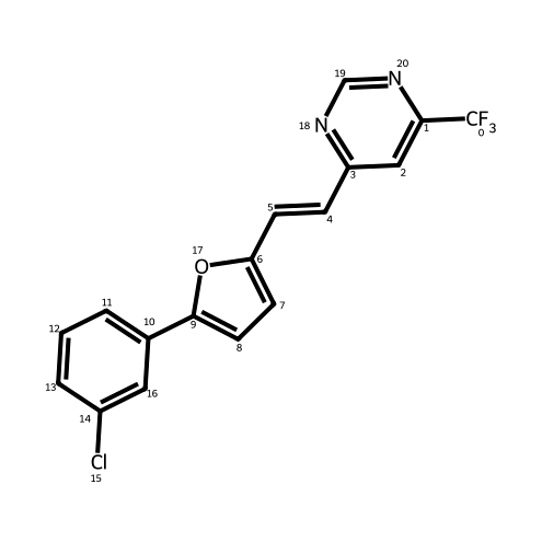 FC(F)(F)c1cc(C=Cc2ccc(-c3cccc(Cl)c3)o2)ncn1